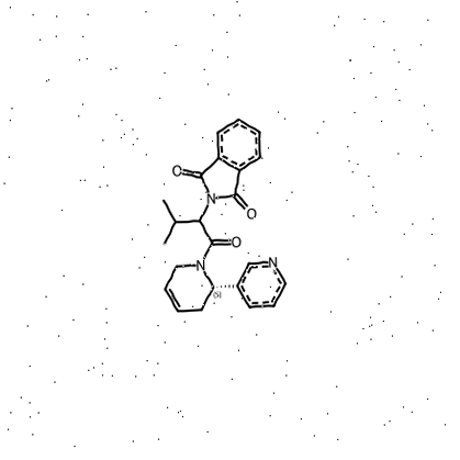 CC(C)C(C(=O)N1CC=CC[C@H]1c1cccnc1)N1C(=O)c2ccccc2C1=O